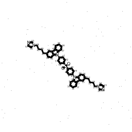 O=S(=O)(c1ccc(-n2c3ccccc3c3cc(CCCCn4ccnc4)ccc32)cc1)c1ccc(-n2c3ccccc3c3cc(CCCCn4ccnc4)ccc32)cc1